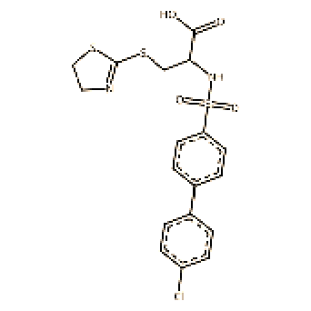 O=C(O)C(CSC1=NCCS1)NS(=O)(=O)c1ccc(-c2ccc(Cl)cc2)cc1